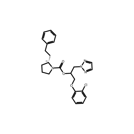 O=C(OC(COc1ccccc1Cl)Cn1nccn1)N1CCC[C@@H]1CCc1ccccc1